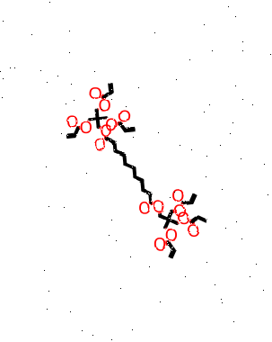 C=CC(=O)OCC(COC(=O)C=C)(COC(=O)C=C)COC(=O)CCCCCCCCCC(=O)OCC(COC(=O)C=C)(COC(=O)C=C)COC(=O)C=C